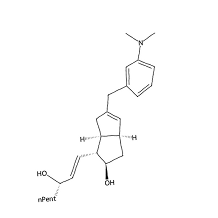 CCCCC[C@H](O)/C=C/[C@@H]1[C@H]2CC(Cc3cccc(N(C)C)c3)=C[C@H]2C[C@H]1O